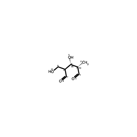 C[C@H](C=O)[C@@H](O)C(C=O)CO